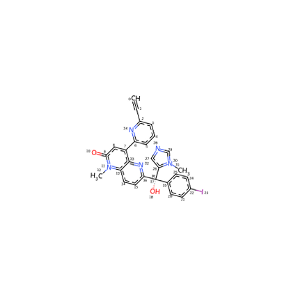 C#Cc1cccc(-c2cc(=O)n(C)c3ccc([C@](O)(c4ccc(I)cc4)c4cncn4C)nc23)n1